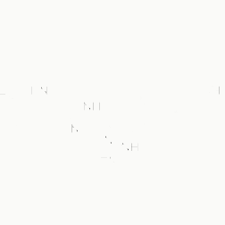 CCc1cc(O)ccc1-c1ccc2c(-c3nc4c([nH]3)CNC(C(=O)O)C4)n[nH]c2c1.Cl